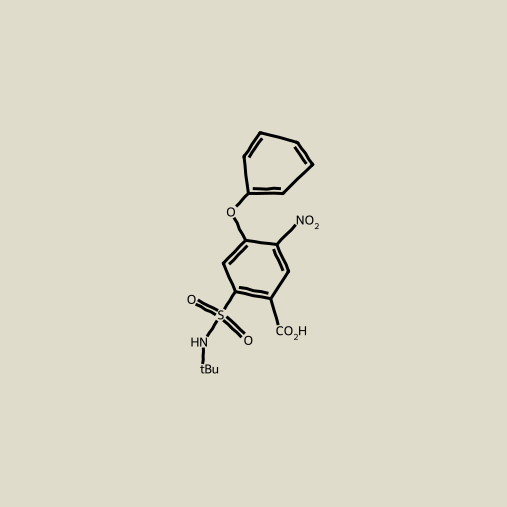 CC(C)(C)NS(=O)(=O)c1cc(Oc2ccccc2)c([N+](=O)[O-])cc1C(=O)O